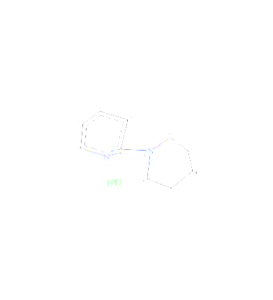 Cl.c1ccc(N2CCCCC2)nc1